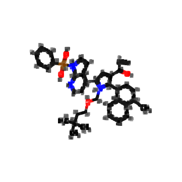 COC(=O)c1cc(-c2ccnc3c2ccn3S(=O)(=O)c2ccccc2)n(COCC[Si](C)(C)C)c1-c1ccc(C)c2ccccc12